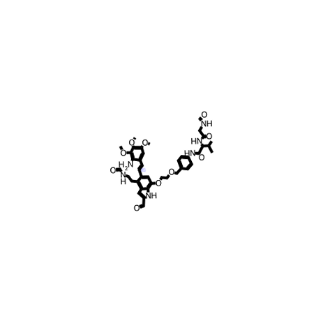 COc1cc(/C=C/c2cc(OCCOCc3ccc(NC(=O)C(NC(=O)CNC=O)C(C)C)cc3)c3[nH]c(C=O)cc3c2CCNC=O)c(N)c(OC)c1OC